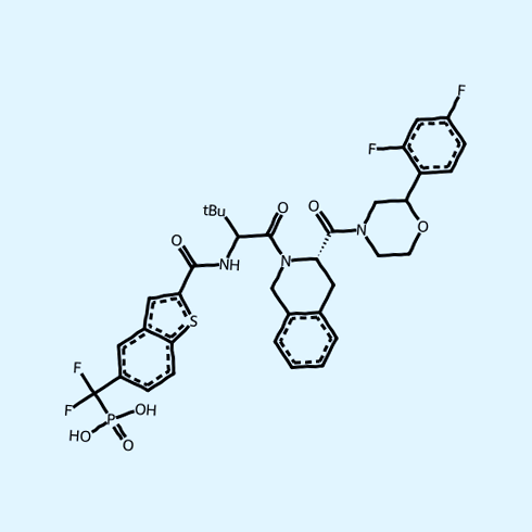 CC(C)(C)C(NC(=O)c1cc2cc(C(F)(F)P(=O)(O)O)ccc2s1)C(=O)N1Cc2ccccc2C[C@H]1C(=O)N1CCOC(c2ccc(F)cc2F)C1